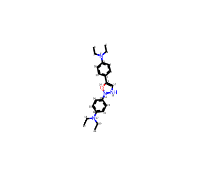 CCN(CC)c1ccc(C2=CNN(c3ccc(N(CC)CC)cc3)O2)cc1